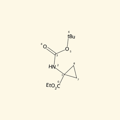 [CH2]COC(=O)C1(NC(=O)OC(C)(C)C)CC1